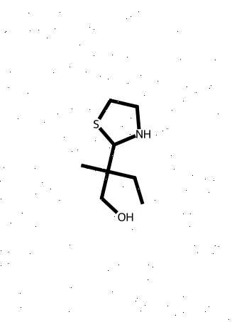 CCC(C)(CO)C1NCCS1